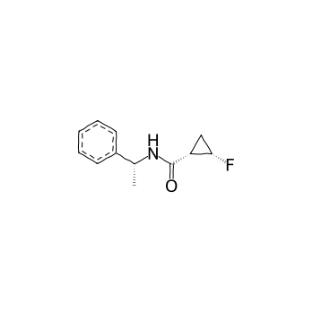 C[C@@H](NC(=O)[C@@H]1C[C@@H]1F)c1ccccc1